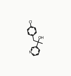 CC(O)(Cc1ccc(Cl)cc1)c1cccnc1